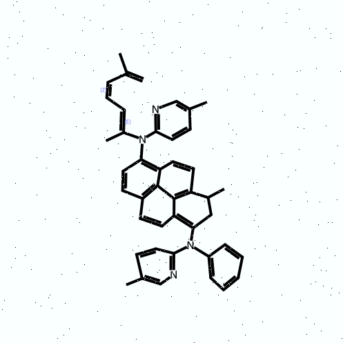 C=C(C)/C=C\C=C(/C)N(c1ccc(C)cn1)c1ccc2ccc3c4c(ccc1c24)C(C)CC=3N(c1ccccc1)c1ccc(C)cn1